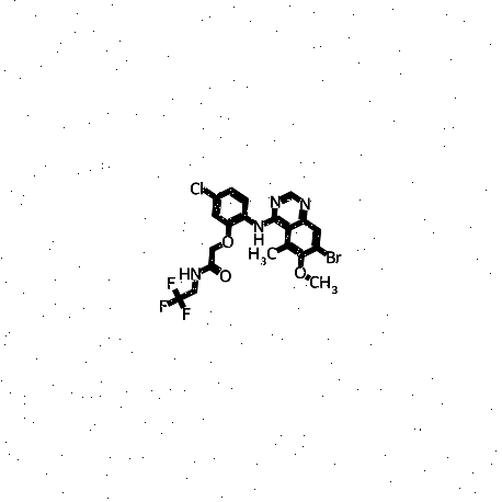 COc1c(Br)cc2ncnc(Nc3ccc(Cl)cc3OCC(=O)NCC(F)(F)F)c2c1C